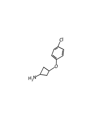 NC1CC(Oc2ccc(Cl)cc2)C1